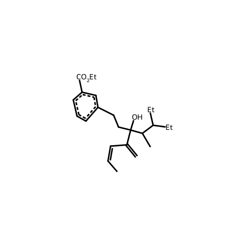 C=C(/C=C\C)C(O)(CCc1cccc(C(=O)OCC)c1)C(C)C(CC)CC